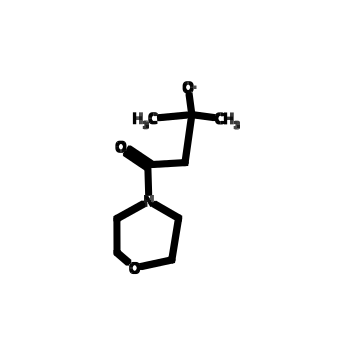 CC(C)([O])CC(=O)N1CCOCC1